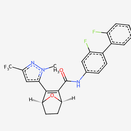 Cn1nc(C(F)(F)F)cc1C1=C(C(=O)Nc2ccc(-c3ccccc3F)c(F)c2)[C@H]2CC[C@@H]1O2